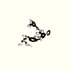 CCN(CC)CCN(C)Cc1cccc(C(=O)Nc2ccc(N3CCCCC3)cc2C(=O)NN=Cc2ccc(Cl)c(C(F)(F)F)c2)c1